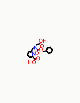 O=C(O)CN(Cc1cccc(C(=O)O)n1)C(=O)OCc1ccccc1